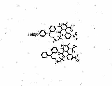 COC(=O)C1=C(C)NC(C)=C(C(=O)OC(C)(C)CN(C)CCC(c2ccccc2)c2ccccc2)C1c1cccc([N+](=O)[O-])c1.COC(=O)C1=C(C)NC(C)=C(C(=O)OC(C)(C)CN(C)CCC(c2ccccc2)c2ccccc2)C1c1cccc([N+](=O)[O-])c1.Cl.Cl.O